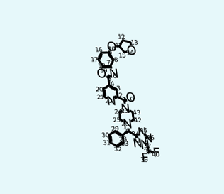 O=C(c1cc(-c2nc3cc(O[C@H]4CCOC4)ccc3o2)ccn1)N1CCN(C(c2ccccc2)c2nnn(C(F)F)n2)CC1